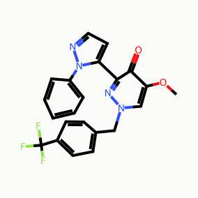 COc1cn(Cc2ccc(C(F)(F)F)cc2)nc(-c2ccnn2-c2ccccc2)c1=O